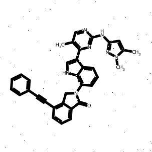 Cc1cnc(Nc2cc(C)n(C)n2)nc1-c1c[nH]c2c(N3Cc4c(C#Cc5ccccc5)cccc4C3=O)cccc12